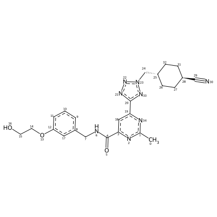 Cc1nc(C(=O)NCc2cccc(OCCO)c2)cc(-c2nnn(C[C@H]3CC[C@H](C#N)CC3)n2)n1